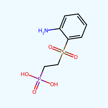 Nc1ccccc1S(=O)(=O)CCP(=O)(O)O